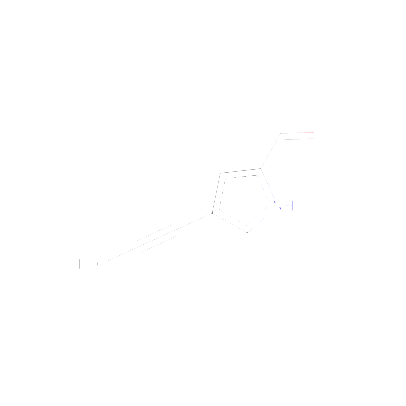 CC#Cc1c[nH]c(C=O)c1